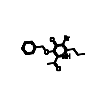 CCCc1[nH]c(C(C)=O)c(OCc2ccccc2)c(=O)c1Br